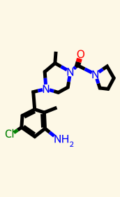 Cc1c(N)cc(Cl)cc1CN1CCN(C(=O)N2CCCC2)C(C)C1